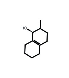 CC1CCC2=C(CCCC2)[C@H]1O